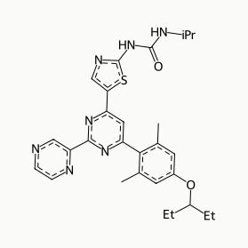 CCC(CC)Oc1cc(C)c(-c2cc(-c3cnc(NC(=O)NC(C)C)s3)nc(-c3cnccn3)n2)c(C)c1